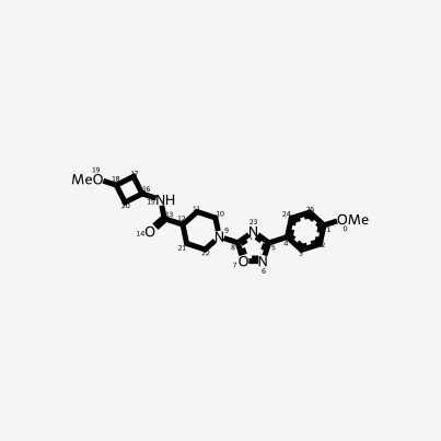 COc1ccc(-c2noc(N3CCC(C(=O)NC4CC(OC)C4)CC3)n2)cc1